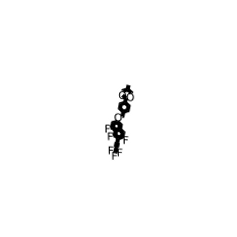 CC1COC(C2CCC(COc3cc(F)c4c(F)c(C#CC(F)(F)F)c(F)cc4c3)CC2)OC1